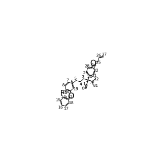 C#CC(CCCc1ccc(F)c(Oc2ccccc2)c1)(c1ccc(OCC=C)cc1)C(C)C